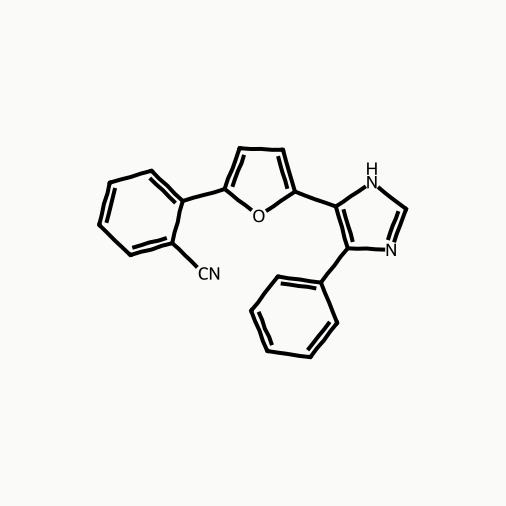 N#Cc1ccccc1-c1ccc(-c2[nH]cnc2-c2ccccc2)o1